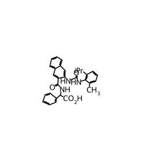 Cc1cccc(C(C)C)c1NC(=O)Nc1cc2ccccc2cc1C(=O)NC(C(=O)O)c1ccccc1